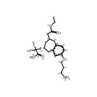 CCOC(=O)CC1CCCc2cc(OCCCN)ccc2C1.O=C(O)C(F)(F)F